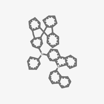 c1ccc(N(c2ccc3c(c2)C2(c4ccccc4-c4ccccc42)c2ccccc2-3)c2ccc3c4ccccc4n(-c4cccc5ccccc45)c3c2)cc1